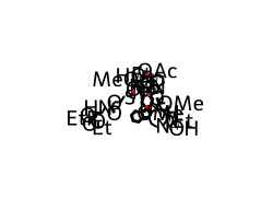 CCOP(=O)(CCNC(=O)OCCSCN1C2=CC(OC)C([C@@]3(C(=O)OC)C[C@H]4CN(CCc5c3[nH]c3ccccc53)C[C@](O)(CC)C4)C=C2[C@@]23CCN4CC=C[C@@](CC)([C@@H](OC(C)=O)[C@](O)(C(=O)OC)[C@H]12)[C@H]43)OCC